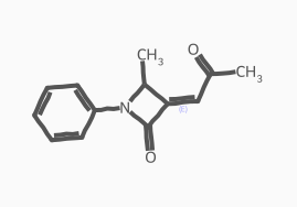 CC(=O)/C=C1/C(=O)N(c2ccccc2)C1C